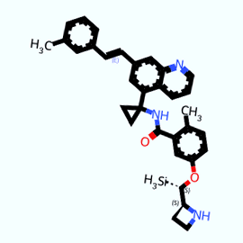 Cc1cccc(/C=C/c2cc(C3(NC(=O)c4cc(O[C@@H]([SiH3])[C@@H]5CCN5)ccc4C)CC3)c3cccnc3c2)c1